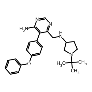 CC(C)(C)N1CCC(NCc2ncnc(N)c2-c2ccc(Oc3ccccc3)cc2)C1